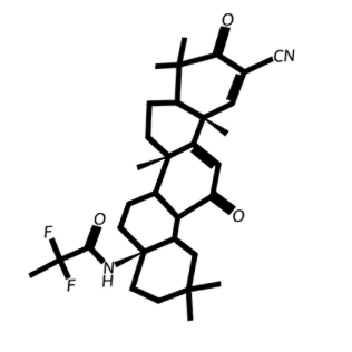 CC1(C)CC[C@]2(NC(=O)C(C)(F)F)CCC3C(C(=O)C=C4[C@@]5(C)C=C(C#N)C(=O)C(C)(C)C5CC[C@]43C)C2C1